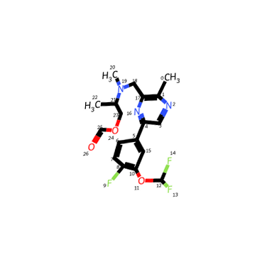 Cc1ncc(-c2ccc(F)c(OC(F)F)c2)nc1CN(C)C(C)COC=O